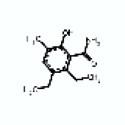 CCc1cc(C)c(O)c(C(N)=O)c1CC